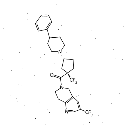 O=C(N1CCc2ncc(C(F)(F)F)cc2C1)[C@@]1(C(F)(F)F)CC[C@@H](N2CCC(c3ccccc3)CC2)C1